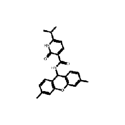 Cc1ccc2c(c1)Oc1cc(C)ccc1C2NC(=O)c1ccc(C(C)C)[nH]c1=O